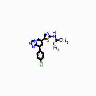 CC(C)Nc1ncc(-c2cc(-c3ccc(Cl)cc3)c3nncn3c2)s1